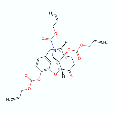 C=CCOC(=O)Oc1ccc2c3c1O[C@H]1C(=O)CC[C@@]4(OC(=O)OCC=C)[C@@H](C2)N(C(=O)OCC=C)CC[C@]314